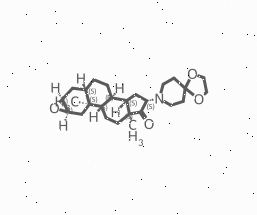 C[C@]12C[C@H]3O[C@H]3C[C@@H]1CC[C@@H]1[C@@H]2CC[C@]2(C)C(=O)[C@@H](N3CCC4(CC3)OCCO4)C[C@@H]12